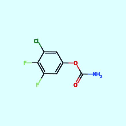 NC(=O)Oc1cc(F)c(F)c(Cl)c1